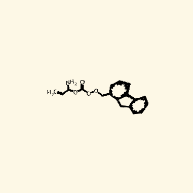 C=CC(N)OC(=O)OOCc1cccc2c1Cc1ccccc1-2